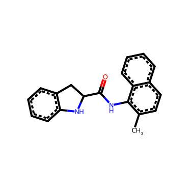 Cc1ccc2ccccc2c1NC(=O)C1Cc2ccccc2N1